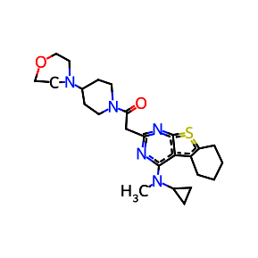 CN(c1nc(CC(=O)N2CCC(N3CCOCC3)CC2)nc2sc3c(c12)CCCC3)C1CC1